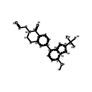 COc1ccc(-c2ccc3c(c2)CCN(CC=O)C3=O)c2cc(C(F)(F)F)nn12